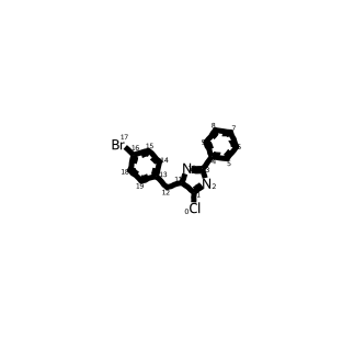 ClC1=NC(c2ccccc2)=NC1Cc1ccc(Br)cc1